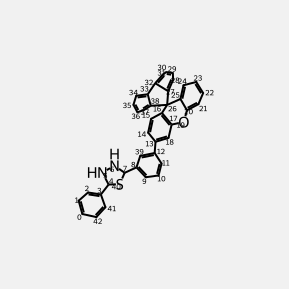 c1ccc(C2NNC(c3cccc(-c4ccc5c(c4)Oc4ccccc4C54c5ccccc5-c5ccccc54)c3)S2)cc1